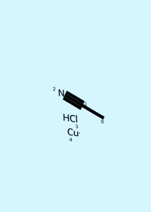 CC#N.Cl.[Cu]